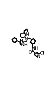 O=C(NCc1cccc(CN(Cc2nc(-c3ccccc3)c[nH]2)C2CCCc3cccnc32)c1)c1ccnc(Cl)c1